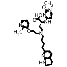 COc1nccc(N[C@@H](CCN(CCCCc2ccc3c(n2)NCCC3)CCOc2cccnc2C)C(=O)O)n1